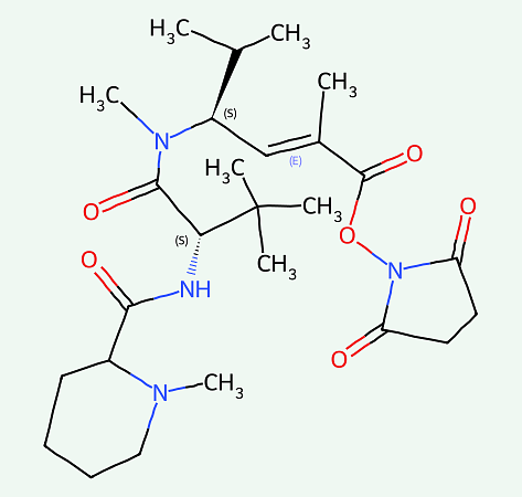 C/C(=C\[C@H](C(C)C)N(C)C(=O)[C@@H](NC(=O)C1CCCCN1C)C(C)(C)C)C(=O)ON1C(=O)CCC1=O